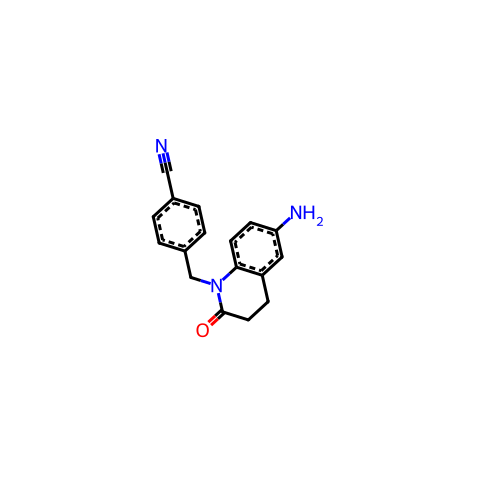 N#Cc1ccc(CN2C(=O)CCc3cc(N)ccc32)cc1